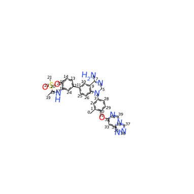 Cc1cc(N2CN=C(N)c3cc(-c4cccc(NC(C)S(C)(=O)=O)c4)ccc32)ccc1Oc1cc2nncn2cn1